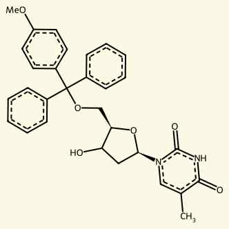 COc1ccc(C(OC[C@H]2O[C@@H](n3cc(C)c(=O)[nH]c3=O)CC2O)(c2ccccc2)c2ccccc2)cc1